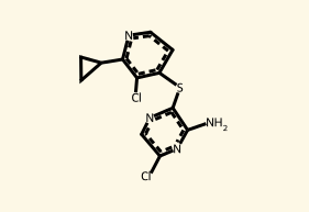 Nc1nc(Cl)cnc1Sc1ccnc(C2CC2)c1Cl